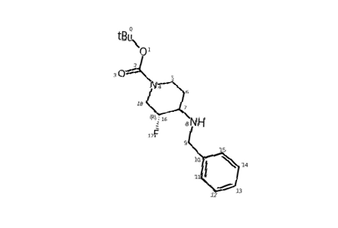 CC(C)(C)OC(=O)N1CCC(NCc2ccccc2)[C@H](F)C1